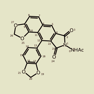 CC(=O)NN1C(=O)c2cc3ccc4c(c3c(-c3ccc5c(c3)OCO5)c2C1=O)OCO4